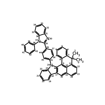 CC1(C)c2ccccc2-c2c3c1cccc3cc1c3ccccc3n(-c3ccc(-c4nc5ccccc5n4-c4ccccc4)cc3)c21